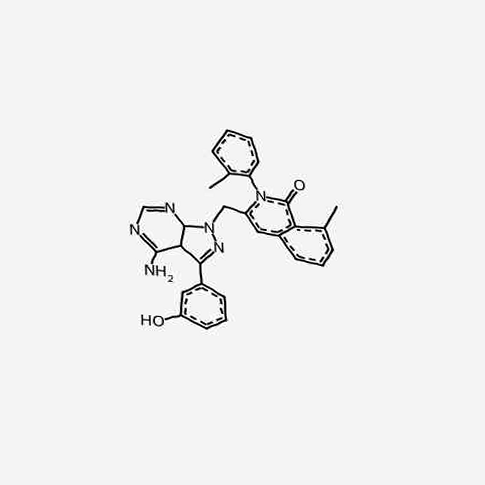 Cc1ccccc1-n1c(CN2N=C(c3cccc(O)c3)C3C(N)=NC=NC32)cc2cccc(C)c2c1=O